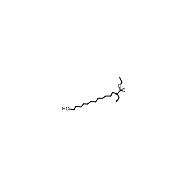 CCOC(=O)C(CC)CCCCCCCCCCCCO